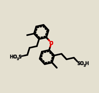 Cc1cccc(Oc2cccc(C)c2CCCS(=O)(=O)O)c1CCCS(=O)(=O)O